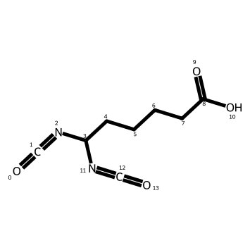 O=C=NC(CCCCC(=O)O)N=C=O